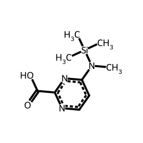 CN(c1ccnc(C(=O)O)n1)[Si](C)(C)C